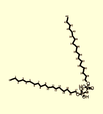 CCCCCCCCCCCCCCCCCCOP(=O)(O)SP(=O)(O)OCCCCCCCCCCCCCCCCCC